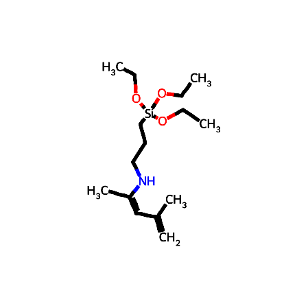 C=C(C)C=C(C)NCCC[Si](OCC)(OCC)OCC